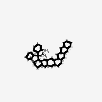 Nc1ccccc1C([SiH2][O])(c1ccccc1N)c1cccc2cc3cc4ccc5cc6cc7ccccc7cc6cc5c4cc3cc12